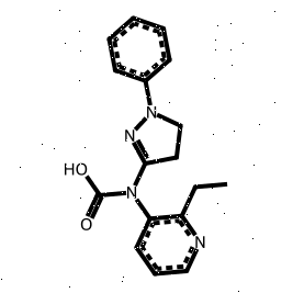 CCc1ncccc1N(C(=O)O)C1=NN(c2ccccc2)CC1